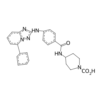 O=C(NC1CCN(C(=O)O)CC1)c1ccc(Nc2nc3cccc(-c4ccccc4)n3n2)cc1